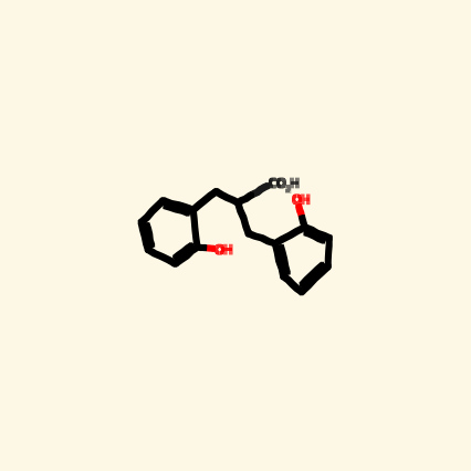 O=C(O)C(Cc1ccccc1O)Cc1ccccc1O